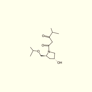 CC(C)OC[C@@H]1C[C@@H](O)CN1C(=O)CC(=O)C(C)C